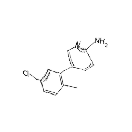 Cc1ccc(Cl)cc1-c1ccc(N)nc1